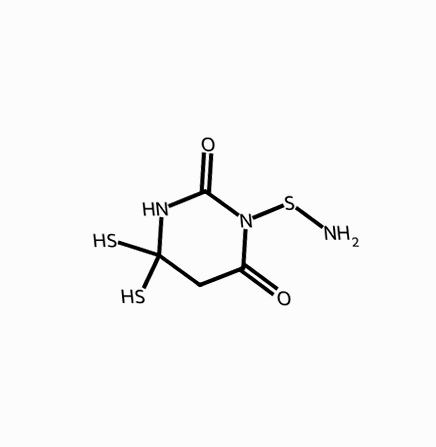 NSN1C(=O)CC(S)(S)NC1=O